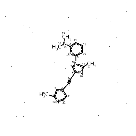 Cc1cc(C#Cc2cn(-c3cccc(N(C)C)n3)c(C)n2)ccn1